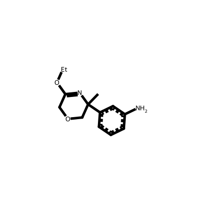 CCOC1=NC(C)(c2cccc(N)c2)COC1